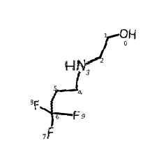 OCCNCCC(F)(F)F